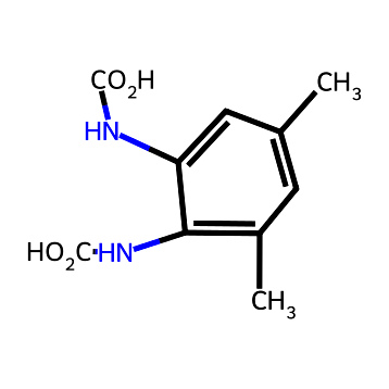 Cc1cc(C)c(NC(=O)O)c(NC(=O)O)c1